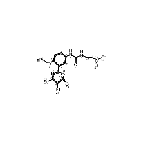 CCCOc1ccc(NC(=O)NCCN(CC)CC)cc1-c1nc(CC)c(CC)c(=O)[nH]1